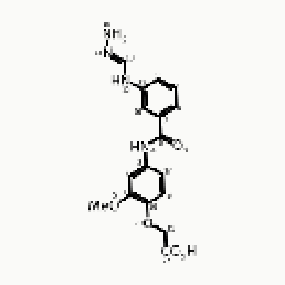 COc1cc(NC(=O)c2cccc(NC=NN)c2)ccc1OCC(=O)O